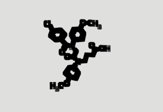 COc1ccc(N(CCCC(=O)O)C(=O)CN(C(=O)c2ccc(Cl)cc2)c2ccc(OC)cc2)cc1